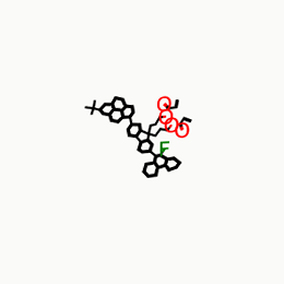 C=CC(=O)OCCCC1(CCCOC(=O)C=C)c2cc(-c3c(F)c4ccccc4c4ccccc34)ccc2-c2ccc(-c3ccc4ccc5cc(C(C)(C)C)cc6ccc3c4c56)cc21